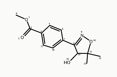 COC(=O)c1ccc(C2=NOC(C)(C)C2O)cc1